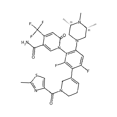 Cc1nc(C(=O)N2CCC=C(c3c(F)cc(N4C[C@@H](C)N(C)[C@@H](C)C4)c(-n4cc(C(N)=O)c(C(F)(F)F)cc4=O)c3F)C2)cs1